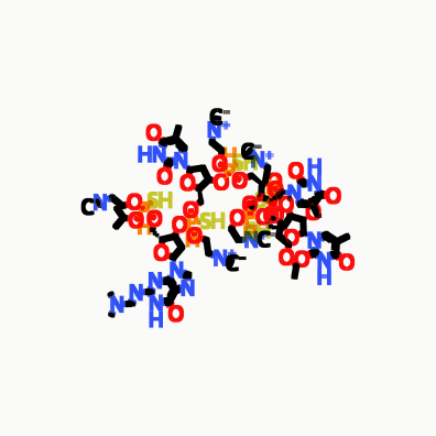 [C-]#[N+]CCO[PH](S)(OC[C@H]1O[C@@H](n2cnc3c(=O)[nH]c(/N=C/N(C)C)nc32)CC1O[PH](S)(OCC[N+]#[C-])OC[C@H]1O[C@@H](n2cc(C)c(=O)[nH]c2=O)CC1O[PH](S)(OCC[N+]#[C-])OC[C@H]1O[C@@H](n2cc(C)c(=O)[nH]c2=O)[C@@H](OC)C1O[PH](S)(OCC[N+]#[C-])OC[C@H]1O[C@@H](n2cc(C)c(=O)[nH]c2=O)[C@@H](OC)C1O[PH](OCCCOCC)(OCC[N+]#[C-])SC)OC(C)C